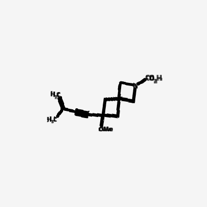 C=C(C)C#CC1(OC)CC2(CN(C(=O)O)C2)C1